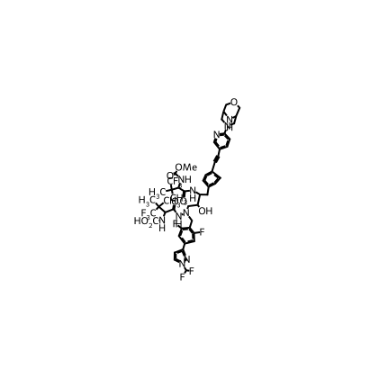 COC(=O)NC(C(=O)NC(Cc1ccc(C#Cc2ccc(N3CC4COCC(C3)N4)nc2)cc1)C(O)CN(Cc1c(F)cc(-c2ccn(C(F)F)n2)cc1F)NC(=O)C(NC(=O)O)C(C)(C)C(F)(F)F)C(C)(C)C(F)(F)F